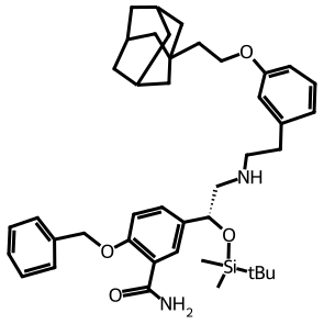 CC(C)(C)[Si](C)(C)O[C@@H](CNCCc1cccc(OCCC23CC4CC(CC(C4)C2)C3)c1)c1ccc(OCc2ccccc2)c(C(N)=O)c1